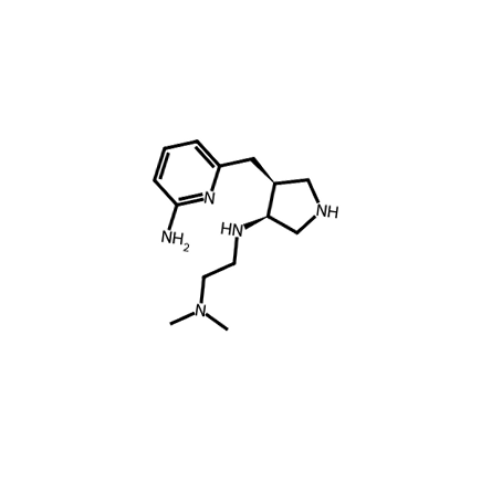 CN(C)CCN[C@@H]1CNC[C@@H]1Cc1cccc(N)n1